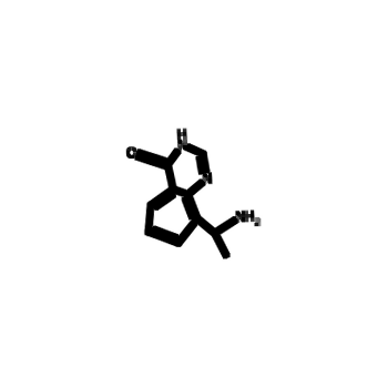 CC(N)c1cccc2c(=O)[nH]cnc12